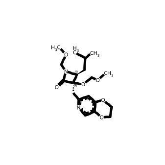 COCO[C@@]1(Cc2cc3c(cn2)OCCO3)C(=O)N(COC)[C@H]1CC(C)C